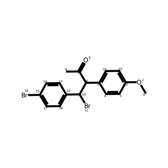 COc1ccc(C(C(C)=O)C(Br)c2ccc(Br)cc2)cc1